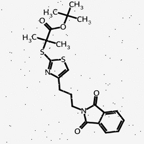 CC(C)(C)OC(=O)C(C)(C)Sc1nc(CCCN2C(=O)c3ccccc3C2=O)cs1